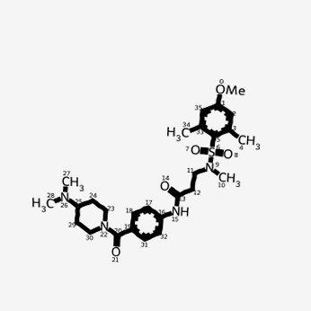 COc1cc(C)c(S(=O)(=O)N(C)CCC(=O)Nc2ccc(C(=O)N3CCC(N(C)C)CC3)cc2)c(C)c1